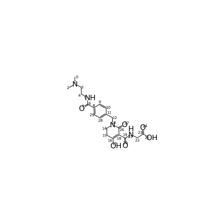 CN(C)CCNC(=O)c1ccc(CN2CCC(O)=C(C(=O)NCC(=O)O)C2=O)cc1